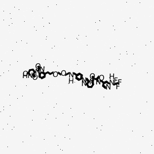 Cn1c(=O)n(C2CCC(=O)NC2=O)c2cccc(CCCOCCOCCNCc3ccc(-n4cc5c(n4)CCCN5C(=O)c4coc(-c5ccnc(NCC(F)(F)F)c5)n4)cc3)c21